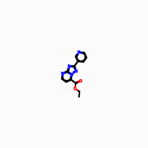 CCOC(=O)c1ccnc2nc(-c3cccnc3)nn12